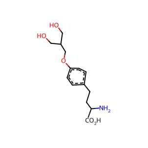 NC(CCc1ccc(OCC(CO)CO)cc1)C(=O)O